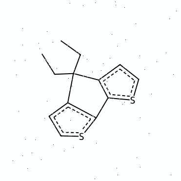 CCC1(CC)c2ccsc2-c2sccc21